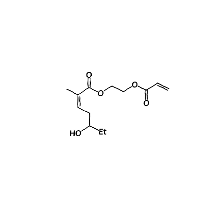 C=CC(=O)OCCOC(=O)C(C)=CCC(O)CC